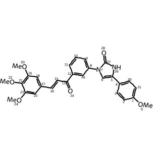 COc1ccc(-c2cn(-c3cccc(C(=O)C=Cc4cc(OC)c(OC)c(OC)c4)c3)c(=O)[nH]2)cc1